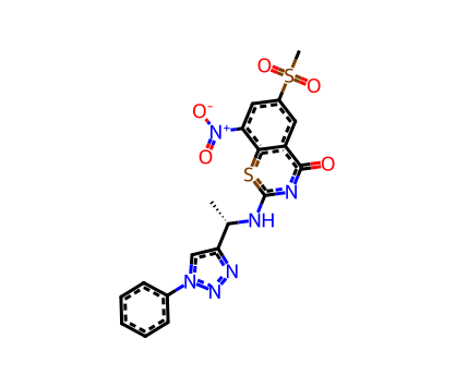 C[C@H](Nc1nc(=O)c2cc(S(C)(=O)=O)cc([N+](=O)[O-])c2s1)c1cn(-c2ccccc2)nn1